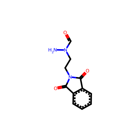 NN(C=O)CCN1C(=O)c2ccccc2C1=O